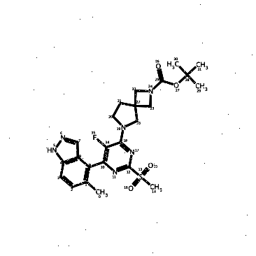 Cc1ccc2[nH]ncc2c1-c1nc(S(C)(=O)=O)nc(N2CCC3(CN(C(=O)OC(C)(C)C)C3)C2)c1F